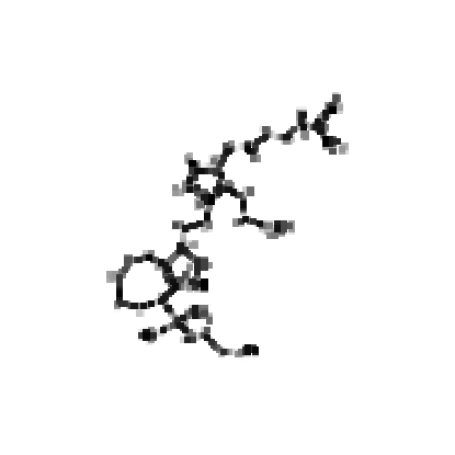 CC(C)CCOC(C)(C)C1CCCCCC2=C1NNN2CCn1nnc(COCCNC(=N)N)c1CCC(=O)O